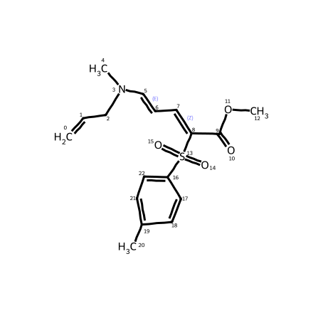 C=CCN(C)/C=C/C=C(/C(=O)OC)S(=O)(=O)c1ccc(C)cc1